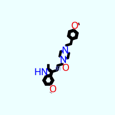 COc1ccc(CCN2CCN(C(=O)/C=C/c3c(C)[nH]c4ccc(OC)cc34)CC2)cc1